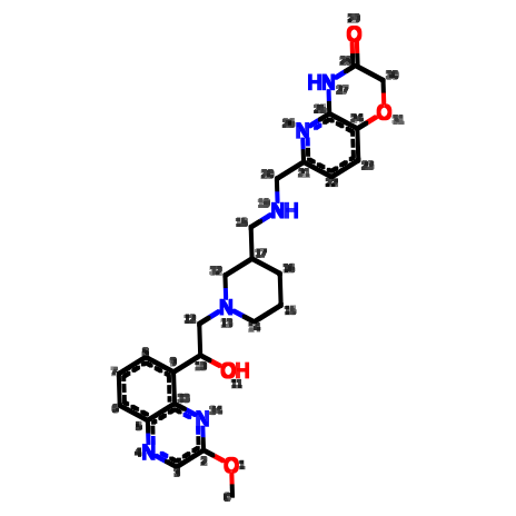 COc1cnc2cccc(C(O)CN3CCCC(CNCc4ccc5c(n4)NC(=O)CO5)C3)c2n1